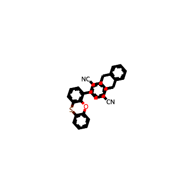 N#Cc1cccc2c1C1c3ccccc3C2c2c1ccc(-c1cccc3c1Oc1ccccc1S3)c2C#N